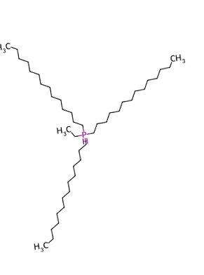 CCCCCCCCCCCCCC[PH](CC)(CCCCCCCCCCCCCC)CCCCCCCCCCCCCC